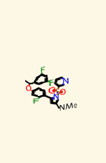 CNCc1cc(-c2ccc(OC(C)c3cc(F)cc(F)c3)cc2F)n(S(=O)(=O)c2cccnc2)c1